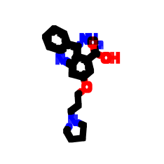 Nc1c2ccccc2nc2cc(OCCCN3CCCC3)cc(C(=O)O)c12